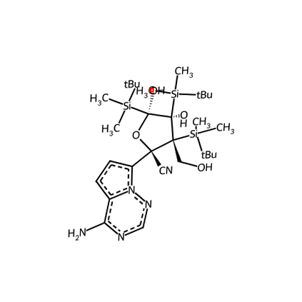 CC(C)(C)[Si](C)(C)[C@@]1(O)[C@](CO)([Si](C)(C)C(C)(C)C)[C@](C#N)(c2ccc3c(N)ncnn23)O[C@@]1(O)[Si](C)(C)C(C)(C)C